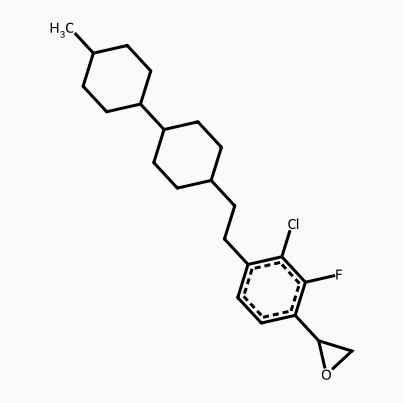 CC1CCC(C2CCC(CCc3ccc(C4CO4)c(F)c3Cl)CC2)CC1